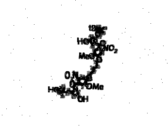 COc1cc(C(=O)N2C[C@H](O)C[C@H]2CCC(C)(C)[Si](C)(C)O)c([N+](=O)[O-])cc1OCCCCCOc1cc([N+](=O)[O-])c(C(=O)N2C[C@H](O)C[C@H]2CO[Si](C)(C)C(C)(C)C)cc1OC